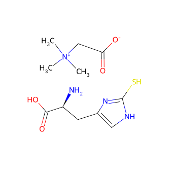 C[N+](C)(C)CC(=O)[O-].N[C@@H](Cc1c[nH]c(S)n1)C(=O)O